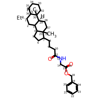 CC[C@H]1CC2C3CCC(CCCC(=O)NCC(=O)OCc4ccccc4)C3(C)CC[C@@H]2C2(C)CCCCC12